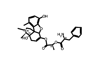 Cc1ccc(O)c2c1C13CCN(C)[C@H](C)[C@]1(O)CC=C(OC(=O)[C@H](C)OC(=O)[C@@H](N)Cc1ccccc1)C3O2